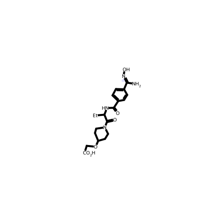 CCC(NC(=O)c1ccc(/C(N)=N/O)cc1)C(=O)N1CCC(OCC(=O)O)CC1